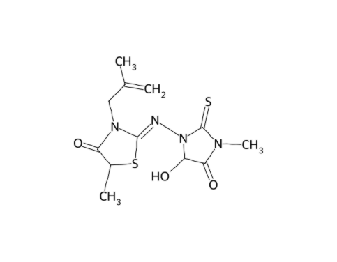 C=C(C)CN1C(=O)C(C)SC1=NN1C(=S)N(C)C(=O)C1O